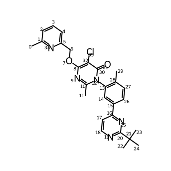 Cc1cccc(COc2nc(C)n(-c3cc(-c4ccnc(C(C)(C)C)n4)ccc3C)c(=O)c2Cl)n1